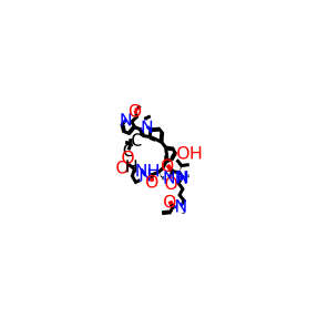 C=CC(=O)N(C)CCCC(=O)N(C)[C@H](C(=O)NC[C@H]1Cc2cc(O)cc(c2)-c2ccc3c(c2)c(c(-c2cccnc2COC)n3CC)CC(C)(C)COC(=O)[C@@H]2CCCN(N2)C1=O)C(C)C